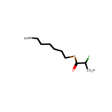 CC(=O)NCCCCCCSC(=O)C(F)C(=O)O